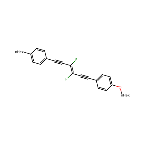 CCCCCCOc1ccc(C#C/C(F)=C(\F)C#Cc2ccc(CCCCCC)cc2)cc1